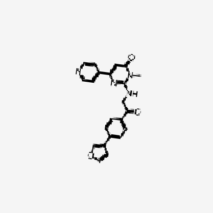 Cn1c(NCC(=O)c2ccc(-c3ccoc3)cc2)nc(-c2ccncc2)cc1=O